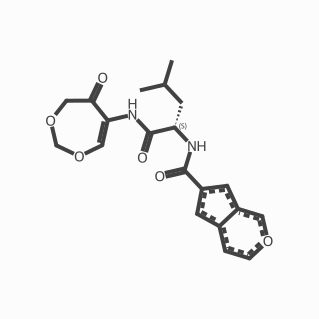 CC(C)C[C@H](NC(=O)c1cc2ccocc-2c1)C(=O)NC1=COCOCC1=O